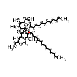 CCCCCCCCCCCCCCN(C(=O)CCCCCCCCCCC)[C@@]1(N(C(=O)CNC(=O)CN)C(=O)[C@H](C)N)C[C@@H](O)[C@H](O)[C@@H](CO)O1